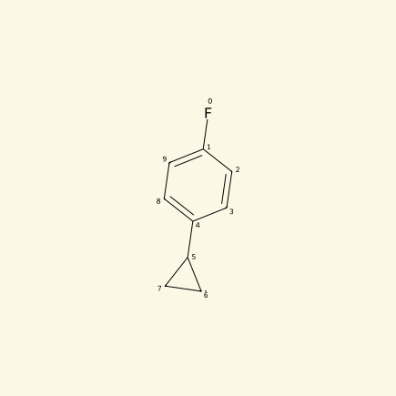 Fc1ccc(C2[CH]C2)cc1